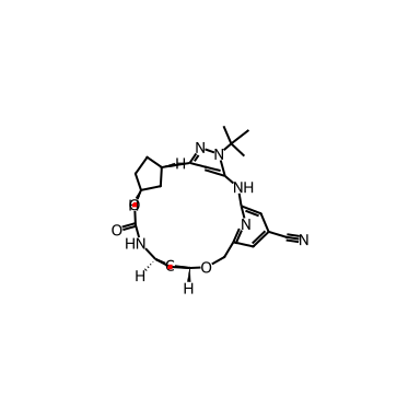 CC(C)(C)n1nc2cc1Nc1cc(C#N)cc(n1)CO[C@H]1C[C@@H](C1)NC(=O)O[C@@H]1CC[C@H]2C1